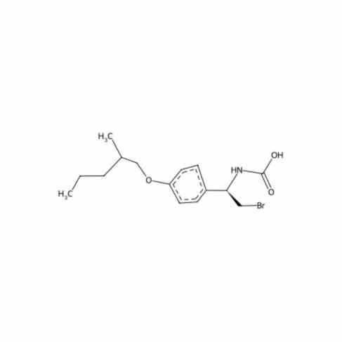 CCCC(C)COc1ccc([C@H](CBr)NC(=O)O)cc1